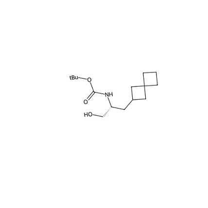 CC(C)(C)OC(=O)N[C@@H](CO)CC1CC2(CCC2)C1